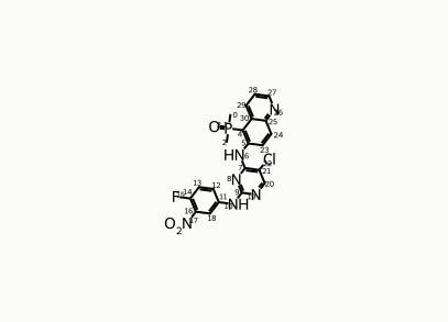 CP(C)(=O)c1c(Nc2nc(Nc3ccc(F)c([N+](=O)[O-])c3)ncc2Cl)ccc2ncccc12